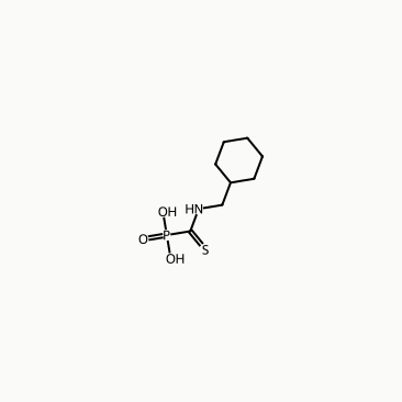 O=P(O)(O)C(=S)NCC1CCCCC1